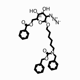 [N-]=[N+]=NC1[C@@H](OCCCCCCN(Cc2ccccc2)C(=O)OCc2ccccc2)OC(COC(=O)c2ccccc2)[C@H](O)[C@@H]1O